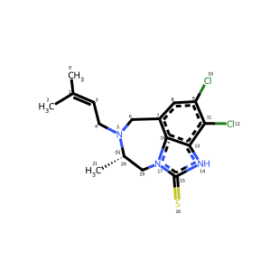 CC(C)=CCN1Cc2cc(Cl)c(Cl)c3[nH]c(=S)n(c23)C[C@@H]1C